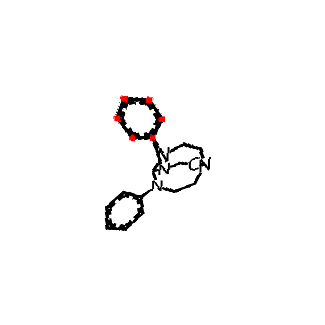 c1ccc(N2CCN3CCN(c4ccccc4)C2N(c2ccccc2)CC3)cc1